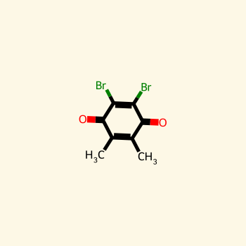 CC1=C(C)C(=O)C(Br)=C(Br)C1=O